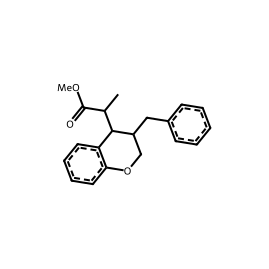 COC(=O)C(C)C1c2ccccc2OCC1Cc1ccccc1